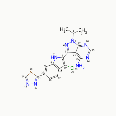 CC(C)n1nc(-c2[nH]c3cc(-c4nncs4)ccc3c2Cl)c2c(N)ncnc21